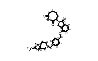 O=C1CCCCC(N2Cc3c(OCc4ccc(CN5CCn6nc(C(F)(F)F)nc6C5)cc4)cccc3C2=O)C(=O)N1